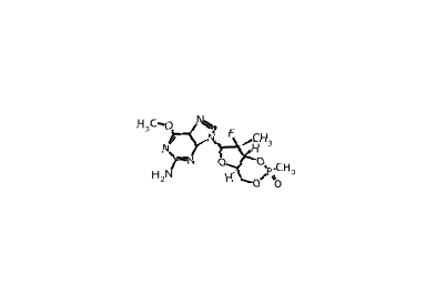 COC1=NC(N)=NC2C1N=CN2C1O[C@@H]2CO[P@](C)(=O)O[C@H]2[C@@]1(C)F